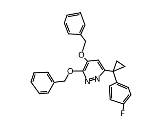 Fc1ccc(C2(c3cc(OCc4ccccc4)c(OCc4ccccc4)nn3)CC2)cc1